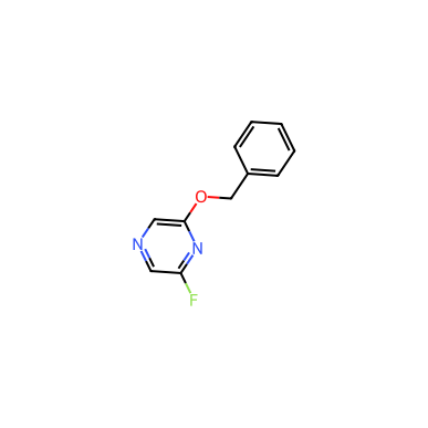 Fc1cncc(OCc2ccccc2)n1